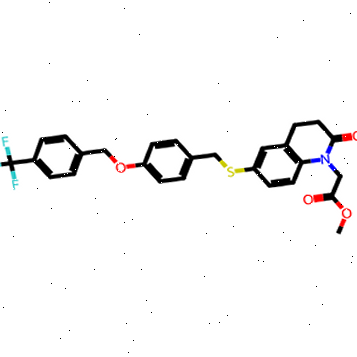 COC(=O)CN1C(=O)CCc2cc(SCc3ccc(OCc4ccc(C(F)(F)F)cc4)cc3)ccc21